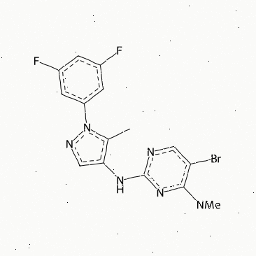 CNc1nc(Nc2cnn(-c3cc(F)cc(F)c3)c2C)ncc1Br